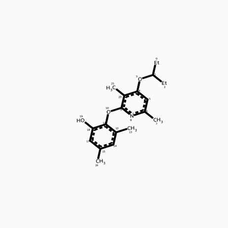 CCC(CC)Oc1cc(C)nc(Oc2c(C)cc(C)cc2O)c1C